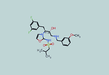 COc1cccc(CNC[C@@H](O)[C@H](Cc2cc(F)cc(F)c2)N2C=COC2NS(=O)(=O)CC(C)C)c1